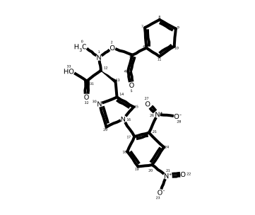 CN(OC(=C=O)c1ccccc1)[C@@H](Cc1cn(-c2ccc([N+](=O)[O-])cc2[N+](=O)[O-])cn1)C(=O)O